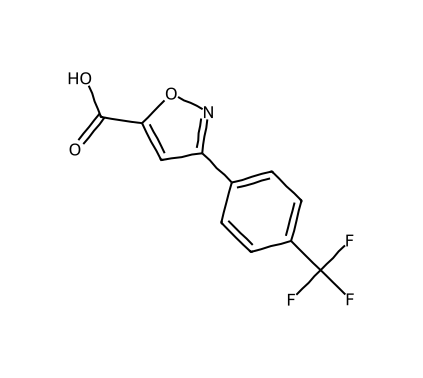 O=C(O)c1cc(-c2ccc(C(F)(F)F)cc2)no1